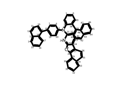 c1ccc(N(c2ccc(-c3cccc4ccccc34)cc2)c2ccc3c(n2)oc2c4ccccc4ccc32)c(-c2cccc3ccccc23)c1